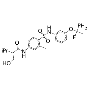 Cc1cc(NC(=O)C(CO)C(C)C)ccc1S(=O)(=O)Nc1cccc(OC(C)(F)P)c1